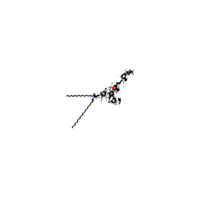 CCCCCCCCCCCCC/C=C/C(O)C(CO[C@@H]1O[C@H](CO)[C@@H](O[C@@H]2O[C@H](CO)[C@H](O[C@@H]3O[C@H](CO)[C@H](O)[C@H](O)[C@H]3NC(C)=O)[C@H](O[C@]3(C(=O)O)C[C@@H](O)[C@H](N)[C@@H](C(O)C(O)CO[C@]4(C(=O)O)C[C@@H](O)[C@H](N)[C@@H](C(O)C(O)CO)O4)O3)[C@H]2O)[C@H](O)[C@H]1O)NC(=O)CCCCCCCCCCCCCCCCC